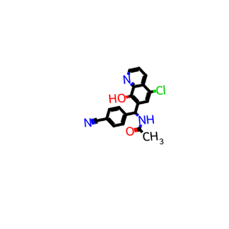 CC(=O)NC(c1ccc(C#N)cc1)c1cc(Cl)c2cccnc2c1O